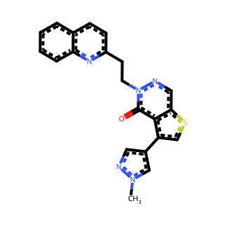 Cn1cc(-c2csc3cnn(CCc4ccc5ccccc5n4)c(=O)c23)cn1